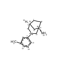 Cc1cc(N2C[C@H]3CC[C@@](N)(C3)C2)cnn1